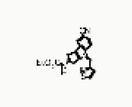 CCOC(=O)N[C@H]1Cc2c(n(Cc3ccsn3)c3ccc(C#N)cc23)C1